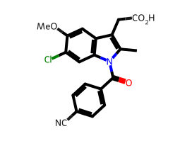 COc1cc2c(CC(=O)O)c(C)n(C(=O)c3ccc(C#N)cc3)c2cc1Cl